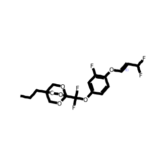 CCCC12COC(C(F)(F)Oc3ccc(O/C=C/C(F)F)c(F)c3)(OC1)OC2